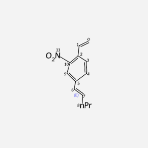 C=Cc1ccc(/C=C/CCC)cc1[N+](=O)[O-]